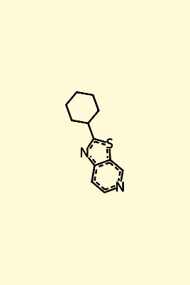 c1cc2nc(C3CCCCC3)sc2cn1